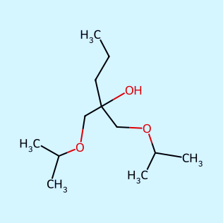 CCCC(O)(COC(C)C)COC(C)C